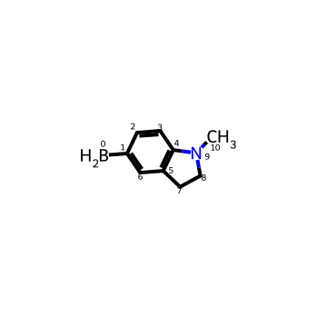 Bc1ccc2c(c1)CCN2C